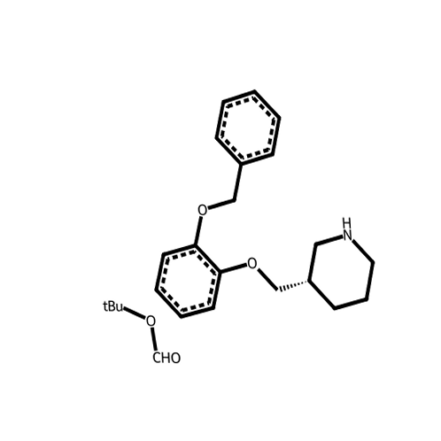 CC(C)(C)OC=O.c1ccc(COc2ccccc2OC[C@H]2CCCNC2)cc1